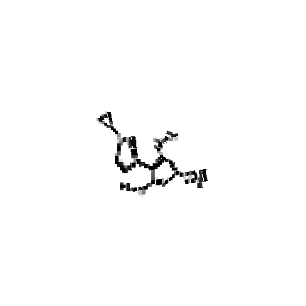 CCOc1cc(C(=O)O)cc(OCC)c1-c1ccn(C2CC2)n1